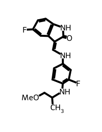 COCC(C)Nc1ccc(NC=C2C(=O)Nc3ccc(F)cc32)cc1F